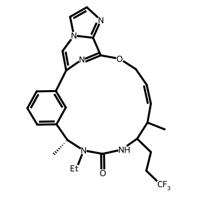 CCN1C(=O)NC(CCC(F)(F)F)C(C)/C=C\COc2nc(cn3ccnc23)-c2cccc(c2)[C@H]1C